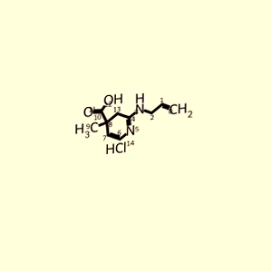 C=CCNC1=NC=CC(C)(C(=O)O)C1.Cl